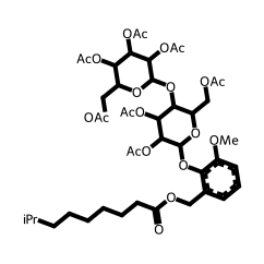 COc1cccc(COC(=O)CCCCCCC(C)C)c1OC1OC(COC(C)=O)C(OC2OC(COC(C)=O)C(OC(C)=O)C(OC(C)=O)C2OC(C)=O)C(OC(C)=O)C1OC(C)=O